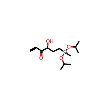 C=CC(=O)C(O)CC[Si](C)(OC(C)C)OC(C)C